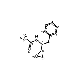 O=C(N[C@@H](Cc1ccccc1)[C@@H]1CO1)C(F)(F)F